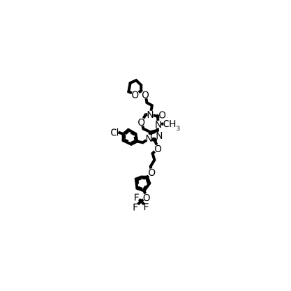 CN1C(=O)N(CCOC2CCCCO2)COCc2c1nc(OCCCOc1cccc(OC(F)(F)F)c1)n2Cc1ccc(Cl)cc1